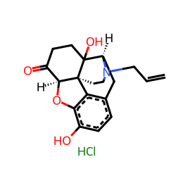 C=CCN1CC[C@]23c4c5ccc(O)c4O[C@H]2C(=O)CCC3(O)[C@H]1C5.Cl